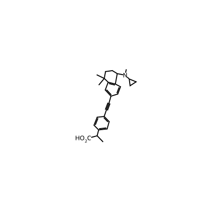 CC(C(=O)O)c1ccc(C#Cc2ccc3c(c2)C(C)(C)CCC3N(C)C2CC2)cc1